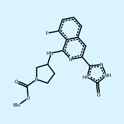 CC(C)(C)OC(=O)N1CCC(Nc2nc(-c3n[nH]c(=O)[nH]3)cc3cccc(F)c23)C1